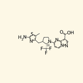 Cc1sc(N)nc1CC1CCN(c2ccn3ncc(C(=O)O)c3n2)[C@@H]1C(F)(F)F